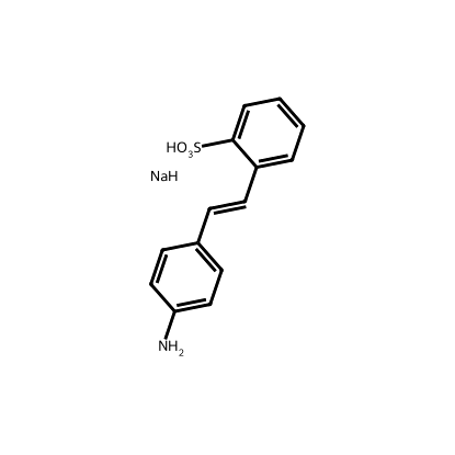 Nc1ccc(C=Cc2ccccc2S(=O)(=O)O)cc1.[NaH]